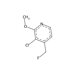 COc1nccc(CF)c1Cl